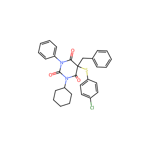 O=C1N(c2ccccc2)C(=O)C(Cc2ccccc2)(Sc2ccc(Cl)cc2)C(=O)N1C1CCCCC1